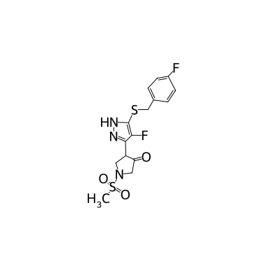 CS(=O)(=O)N1CC(=O)C(c2n[nH]c(SCc3ccc(F)cc3)c2F)C1